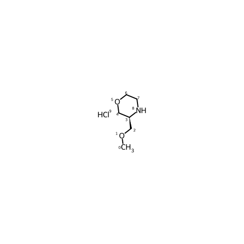 COC[C@H]1COCCN1.Cl